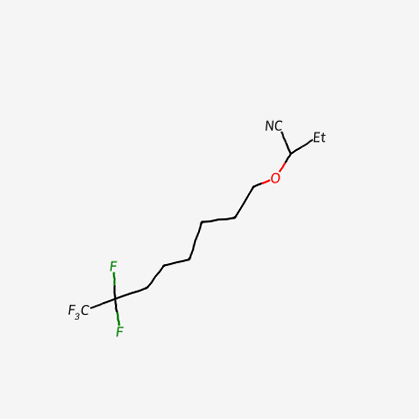 CCC(C#N)OCCCCCCC(F)(F)C(F)(F)F